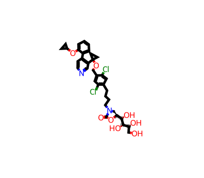 O=C1O[C@H]([C@@H](O)[C@H](O)[C@H](O)CO)CN1CCCCc1cc(Cl)c(COC2(c3cnccc3-c3ccccc3OC3CC3)CC2)cc1Cl